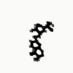 CC(C)N1CCc2cc(OCC(COC(N)=O)=C(F)C(C)(C)C)ccc2C1=O